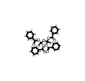 CC(OC(=O)c1ccccc1)(OC(=O)c1ccccc1)OC(C)(OC(=O)c1ccccc1)OC(=O)c1ccccc1